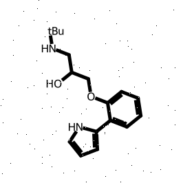 CC(C)(C)NCC(O)COc1ccccc1-c1ccc[nH]1